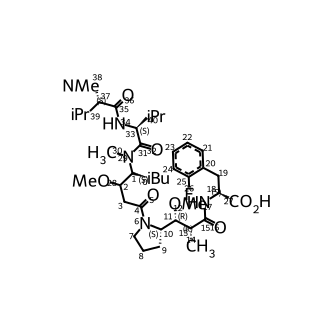 CC[C@H](C)C(C(CC(=O)N1CCC[C@H]1[C@H](OC)[C@@H](C)C(=O)N[C@@H](Cc1ccccc1F)C(=O)O)OC)N(C)C(=O)[C@@H](NC(=O)[C@@H](NC)C(C)C)C(C)C